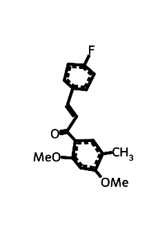 COc1cc(OC)c(C(=O)/C=C/c2ccc(F)cc2)cc1C